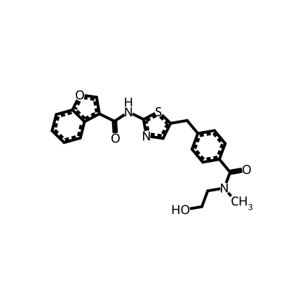 CN(CCO)C(=O)c1ccc(Cc2cnc(NC(=O)c3coc4ccccc34)s2)cc1